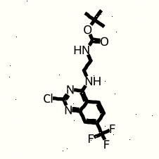 CC(C)(C)OC(=O)NCCNc1nc(Cl)nc2cc(C(F)(F)F)ccc12